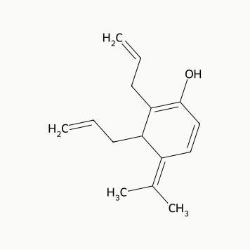 C=CCC1=C(O)C=CC(=C(C)C)C1CC=C